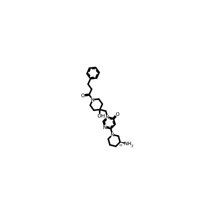 N[C@H]1CCCN(c2cc(=O)n(CC3(O)CCN(C(=O)CCc4ccccc4)CC3)cn2)C1